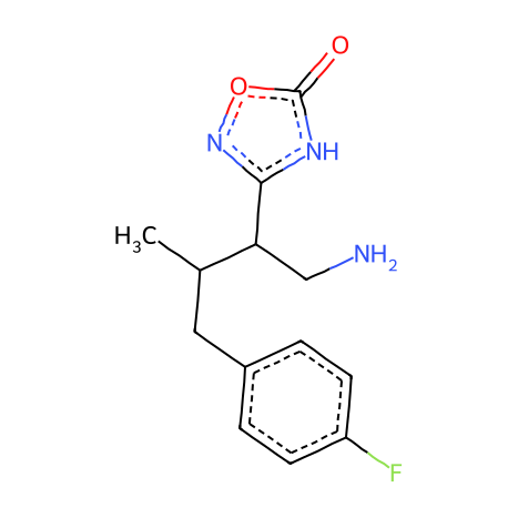 CC(Cc1ccc(F)cc1)C(CN)c1noc(=O)[nH]1